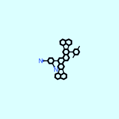 Cc1ccc(C)c(-c2c3c(cc4c2ccc2c5cc6c(cc5c(-c5ccc(C#N)cc5C#N)cc42)-c2cccc4cccc-6c24)-c2cccc4cccc-3c24)c1